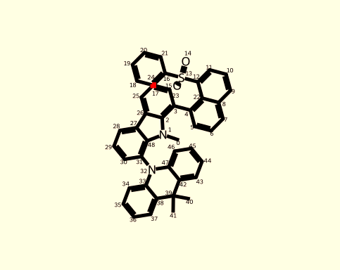 Cn1c2c(-c3cccc4cccc(S(=O)(=O)c5ccccc5)c34)cccc2c2cccc(N3c4ccccc4C(C)(C)c4ccccc43)c21